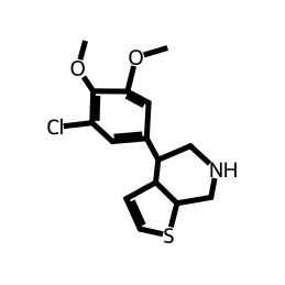 COc1cc(C2CNCC3SC=CC32)cc(Cl)c1OC